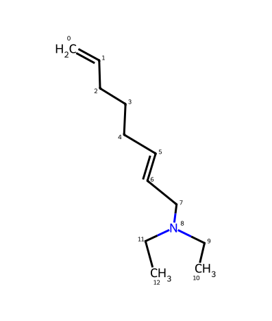 C=CCCCC=CCN(CC)CC